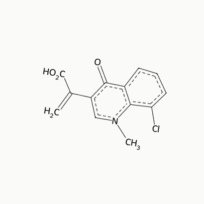 C=C(C(=O)O)c1cn(C)c2c(Cl)cccc2c1=O